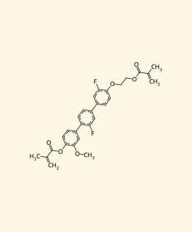 C=C(C)C(=O)OCCOc1ccc(-c2ccc(-c3ccc(OC(=O)C(=C)C)c(OC)c3)c(F)c2)cc1F